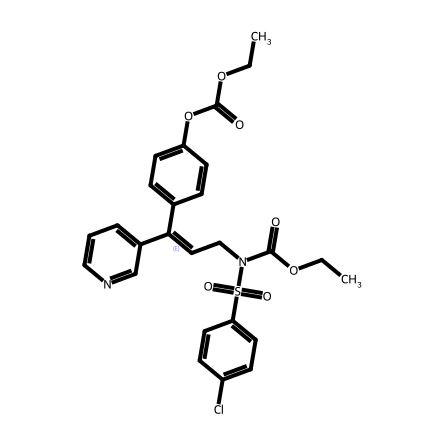 CCOC(=O)Oc1ccc(/C(=C\CN(C(=O)OCC)S(=O)(=O)c2ccc(Cl)cc2)c2cccnc2)cc1